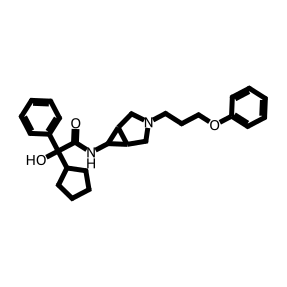 O=C(NC1C2CN(CCCOc3ccccc3)CC21)C(O)(c1ccccc1)C1CCCC1